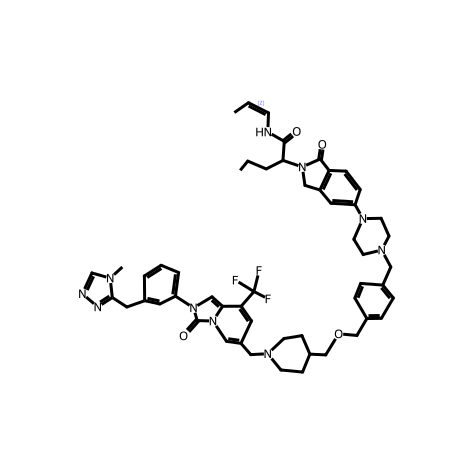 C/C=C\NC(=O)C(CCC)N1Cc2cc(N3CCN(Cc4ccc(COCC5CCN(Cc6cc(C(F)(F)F)c7cn(-c8cccc(Cc9nncn9C)c8)c(=O)n7c6)CC5)cc4)CC3)ccc2C1=O